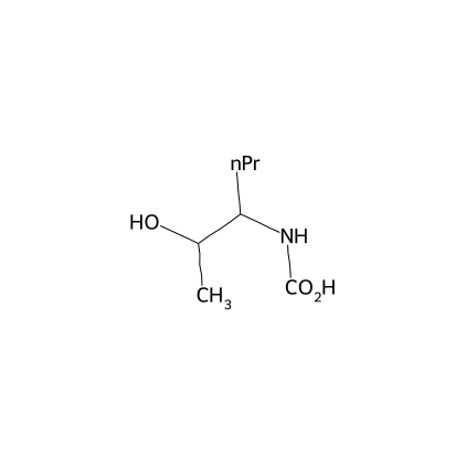 CCCC(NC(=O)O)C(C)O